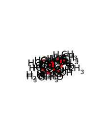 COc1ccc(COC(=O)N(C)[C@H](CC(C)C)C(=O)N[C@H]2C(=O)N[C@@H](CC(N)=O)C(=O)N[C@H]3C(=O)N[C@H]4C(=O)NC(C(=O)N[C@@H](C(=O)O)c5cc(O)cc(O)c5-c5cc4ccc5O)C(O[C@H]4C[C@](C)(N)[C@@H](O)[C@H](C)O4)c4ccc(c(Cl)c4)Oc4cc3cc(c4OC3O[C@H](CO)[C@@H](O)[C@H](O)[C@H]3O)Oc3ccc(cc3Cl)[C@H]2O)cc1